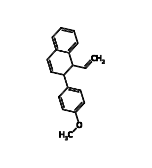 C=CC1c2ccccc2C=CC1c1ccc(OC)cc1